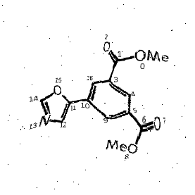 COC(=O)c1cc(C(=O)OC)cc(-c2cnco2)c1